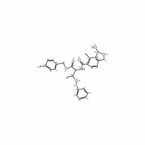 Cc1c(C(=O)NC(C(=O)OCc2ccc(F)cc2)C(C)OCc2ccccc2)ccc2c1B(O)OC2